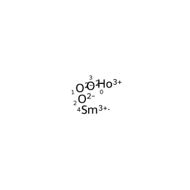 [Ho+3].[O-2].[O-2].[O-2].[Sm+3]